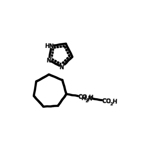 NC(=O)O.O=C(O)C1CCCCCC1.c1c[nH]nn1